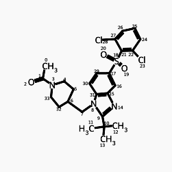 CC(=O)N1CCC(Cn2c(C(C)(C)C)nc3cc(S(=O)(=O)c4c(Cl)cccc4Cl)ccc32)CC1